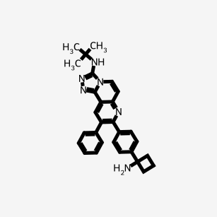 CC(C)(C)Nc1nnc2c3cc(-c4ccccc4)c(-c4ccc(C5(N)CCC5)cc4)nc3ccn12